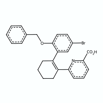 O=C(O)c1cccc(C2=C(c3cc(Br)ccc3OCc3ccccc3)CCCC2)n1